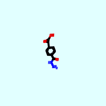 NNC(=O)c1ccc(C2OC2O)cc1